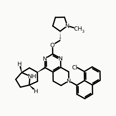 CN1CCC[C@H]1COc1nc2c(c([C@@H]3C[C@H]4CC[C@@H](C3)N4)n1)CCN(c1cccc3cccc(Cl)c13)C2